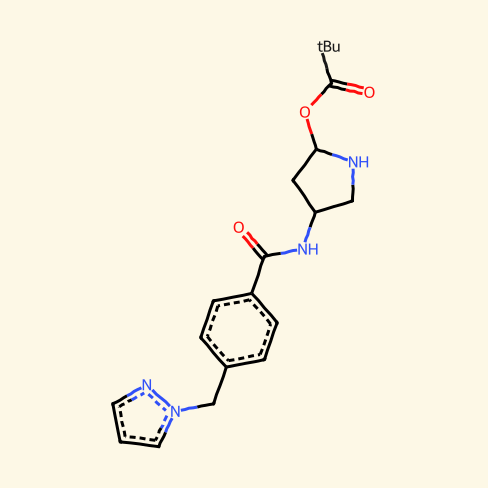 CC(C)(C)C(=O)OC1CC(NC(=O)c2ccc(Cn3cccn3)cc2)CN1